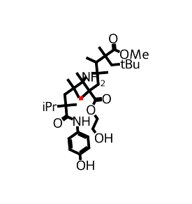 COC(=O)C(C)(CC(C)(C)C)C(C)C(C)(C)CC(C)(C(=O)OCCO)C(C)(N)C(C)(C)CC(C)(C(=O)Nc1ccc(O)cc1)C(C)C